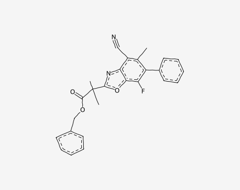 Cc1c(-c2ccccc2)c(F)c2oc(C(C)(C)C(=O)OCc3ccccc3)nc2c1C#N